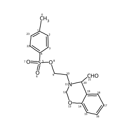 Cc1ccc(S(=O)(=O)OCCN2COc3ccccc3C2C=O)cc1